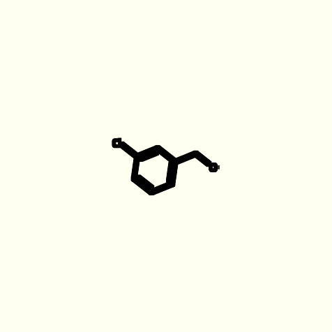 [O]Cc1cccc(Cl)c1